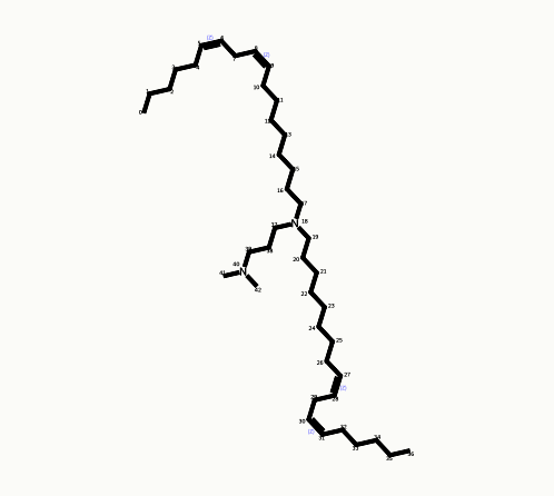 CCCCC/C=C\C/C=C\CCCCCCCCN(CCCCCCCC/C=C\C/C=C\CCCCC)CCCN(C)C